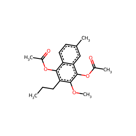 CCCc1c(OC)c(OC(C)=O)c2cc(C)ccc2c1OC(C)=O